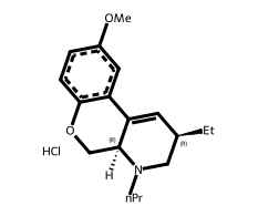 CCCN1C[C@H](CC)C=C2c3cc(OC)ccc3OC[C@@H]21.Cl